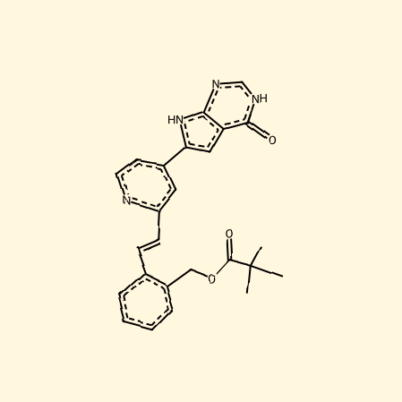 CC(C)(C)C(=O)OCc1ccccc1C=Cc1cc(-c2cc3c(=O)[nH]cnc3[nH]2)ccn1